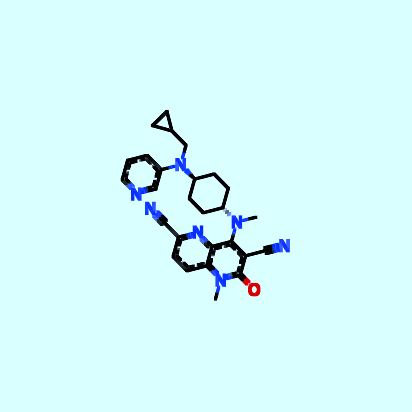 Cn1c(=O)c(C#N)c(N(C)[C@H]2CC[C@H](N(CC3CC3)c3cccnc3)CC2)c2nc(C#N)ccc21